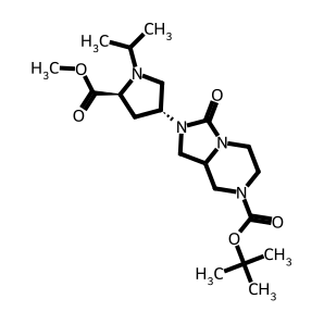 COC(=O)[C@@H]1C[C@@H](N2CC3CN(C(=O)OC(C)(C)C)CCN3C2=O)CN1C(C)C